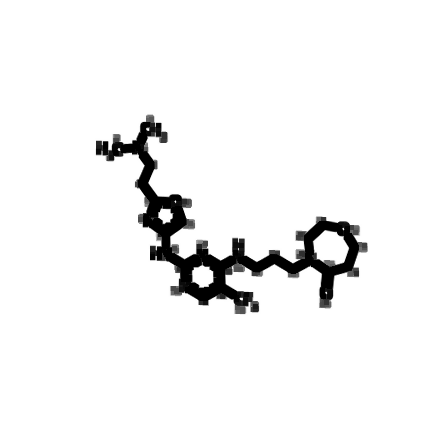 CN(C)CCc1nc(Nc2ncc(C(F)(F)F)c(NCCCN3CCOCCC3=O)n2)co1